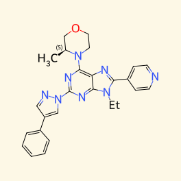 CCn1c(-c2ccncc2)nc2c(N3CCOC[C@@H]3C)nc(-n3cc(-c4ccccc4)cn3)nc21